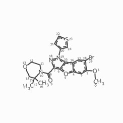 COc1cc2oc3c(C(=O)N4CCOCC4(C)C)nn(-c4ccsc4)c3c2cc1Br